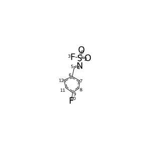 O=S(=O)(F)/N=C/c1ccc(F)cc1